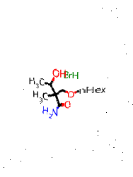 Br.CCCCCCOCC(C)(C(N)=O)C(C)O